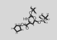 CC(C)(C)OC(=O)NC(CCO[Si](C)(C)C(C)(C)C)C(=O)OC1CCCC1